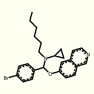 CCCCCCN(C1CC1)C(Oc1ccc2cnccc2c1)c1ccc(Br)cc1